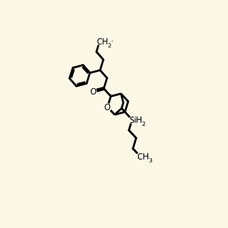 [CH2]CCC(CC(=O)[C]1OC2CCC1CC2[SiH2]CCCC)c1ccccc1